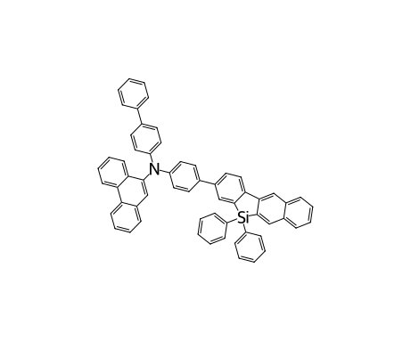 c1ccc(-c2ccc(N(c3ccc(-c4ccc5c(c4)[Si](c4ccccc4)(c4ccccc4)c4cc6ccccc6cc4-5)cc3)c3cc4ccccc4c4ccccc34)cc2)cc1